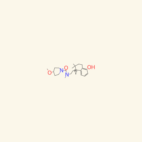 COC1CCN(C(=O)N(C)CC[C@@]2(C)c3cccc(O)c3CCC2(C)C)CC1